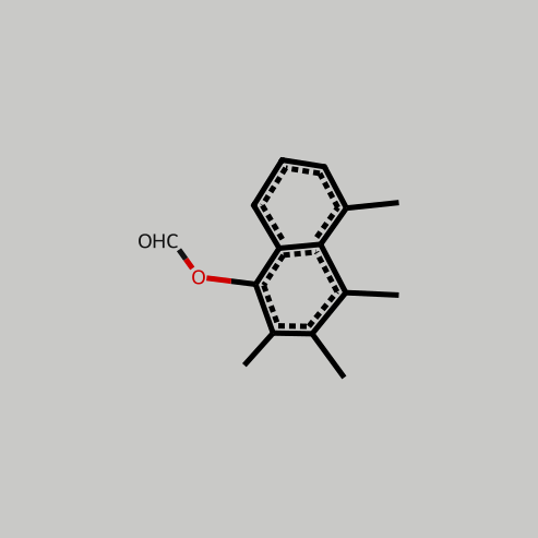 Cc1c(C)c(C)c2c(C)cccc2c1OC=O